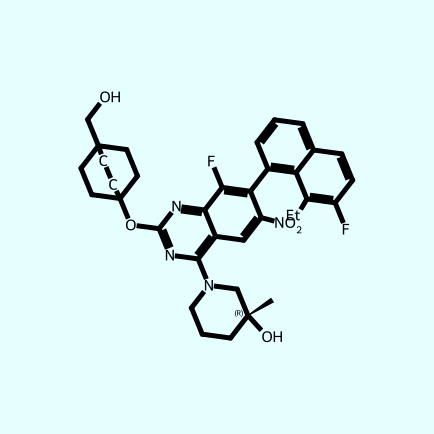 CCc1c(F)ccc2cccc(-c3c([N+](=O)[O-])cc4c(N5CCC[C@@](C)(O)C5)nc(OC56CCC(CO)(CC5)CC6)nc4c3F)c12